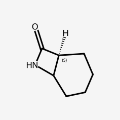 O=C1NC2CCCC[C@H]12